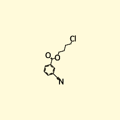 N#Cc1cccc(C(=O)OCCCCCl)c1